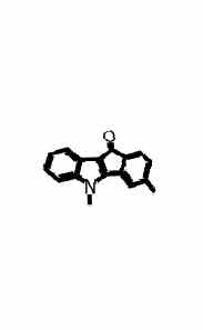 Cc1ccc2c(c1)-c1c(c3ccccc3n1C)C2=O